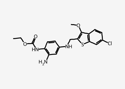 CCOC(=O)Nc1ccc(NCc2sc3cc(Cl)ccc3c2OC)cc1N